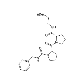 CCCCCCCCCCCCNC(=O)[C@@H]1CCCN1C(=O)[C@@H]1CCCN1C(=O)NCc1ccccc1